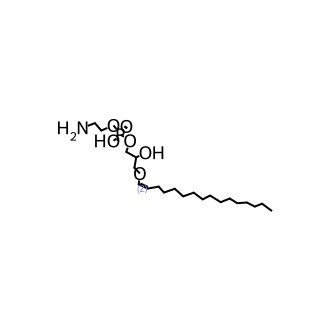 CCCCCCCCCCCCCC/C=C\OCC(O)COP(=O)(O)OCCN